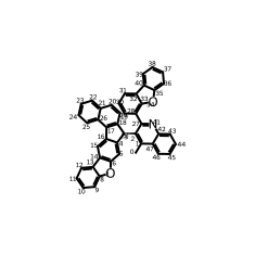 Cc1c([C@H]2c3cc4oc5ccccc5c4cc3-c3c2ccc2ccccc32)c(-c2cccc3c2oc2ccccc23)nc2ccccc12